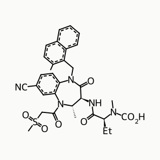 CC[C@@H](C(=O)N[C@@H]1C(=O)N(Cc2c(C)ccc3ccccc23)c2ccc(C#N)cc2N(C(=O)CS(C)(=O)=O)[C@H]1C)N(C)C(=O)O